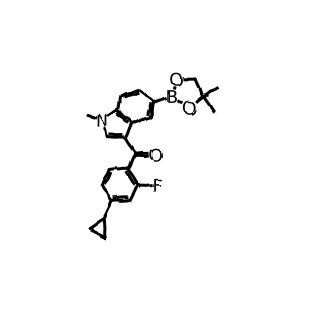 Cn1cc(C(=O)c2ccc(C3CC3)cc2F)c2cc(B3OCC(C)(C)O3)ccc21